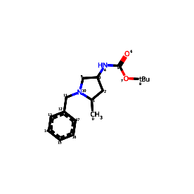 CC1CC(NC(=O)OC(C)(C)C)CN1Cc1ccccc1